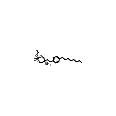 CCCCCCCCc1ccc(CCC2(N)COP(=O)(OCC)OC2)cc1